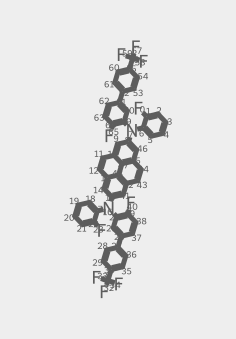 Fc1ccccc1N(c1cc2ccc3cc(N(c4ccccc4F)c4cc(-c5ccc(C(F)(F)F)cc5)ccc4F)cc4ccc(c1)c2c34)c1cc(-c2ccc(C(F)(F)F)cc2)ccc1F